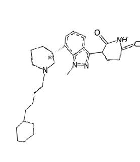 Cn1nc(C2CCC(=O)NC2=O)c2cccc([C@H]3CCCN(CCCCC4CCCCC4)C3)c21